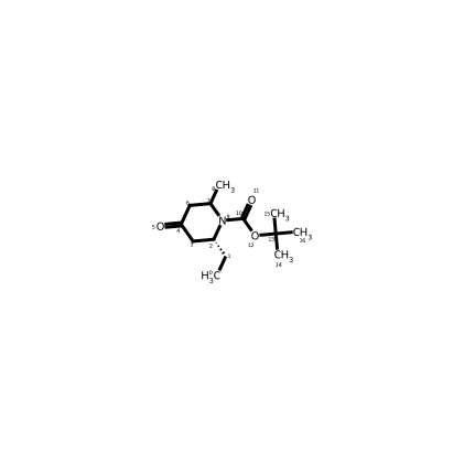 CC[C@@H]1CC(=O)CC(C)N1C(=O)OC(C)(C)C